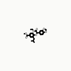 CCOC(=O)C(Oc1ccc(C(=O)OC)cc1CC(C)C)c1ccc2c(c1)OCO2